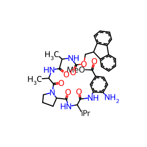 COC(=O)c1ccc(N)c(NC(=O)C(NC(=O)C2CCCN2C(=O)C(C)NC(=O)C(C)NC(=O)OCC2c3ccccc3-c3ccccc32)C(C)C)c1